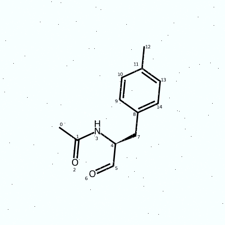 CC(=O)N[C@H](C=O)Cc1ccc(C)cc1